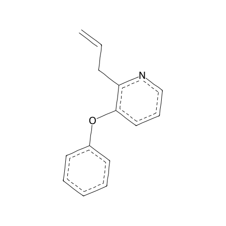 C=CCc1ncccc1Oc1ccccc1